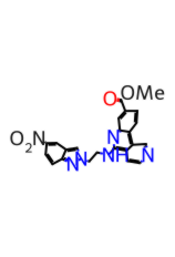 COC(=O)c1ccc2c(c1)nc(NCCn1cc3cc([N+](=O)[O-])ccc3n1)c1ccncc12